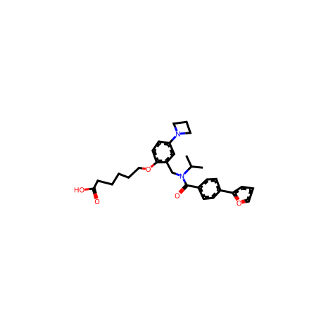 CC(C)N(Cc1cc(N2CCC2)ccc1OCCCCCC(=O)O)C(=O)c1ccc(-c2ccco2)cc1